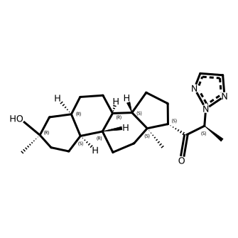 C[C@@H](C(=O)[C@H]1CC[C@H]2[C@@H]3CC[C@@H]4C[C@](C)(O)CC[C@@H]4[C@H]3CC[C@]12C)n1nccn1